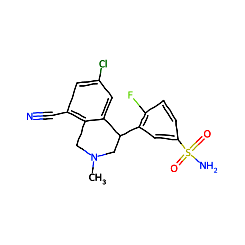 CN1Cc2c(C#N)cc(Cl)cc2C(c2cc(S(N)(=O)=O)ccc2F)C1